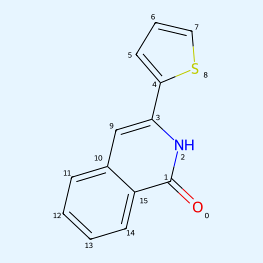 O=c1[nH]c(-c2cccs2)cc2ccccc12